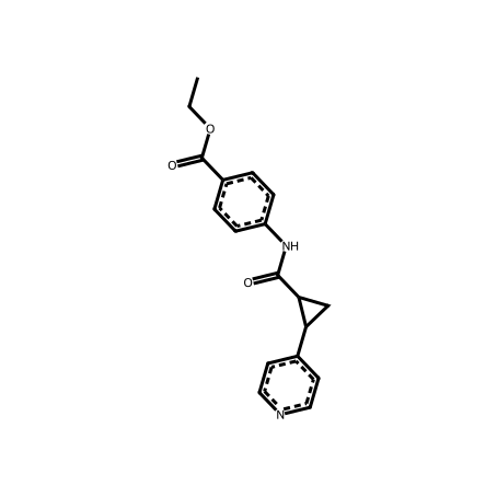 CCOC(=O)c1ccc(NC(=O)C2CC2c2ccncc2)cc1